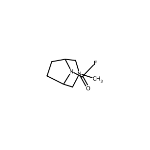 CN1CC2CCC(C1)N2C(=O)F